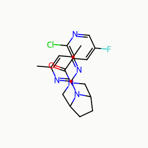 Cc1cc(C)nc(N2C3CCC2CN(C(=O)c2cc(F)cnc2Cl)C3)n1